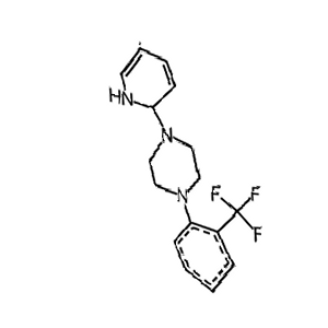 FC(F)(F)c1ccccc1N1CCN(C2C=C[C]=CN2)CC1